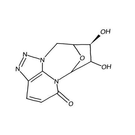 O=c1ccc2nnn3c2n1C1OC(C3)[C@@H](O)C1O